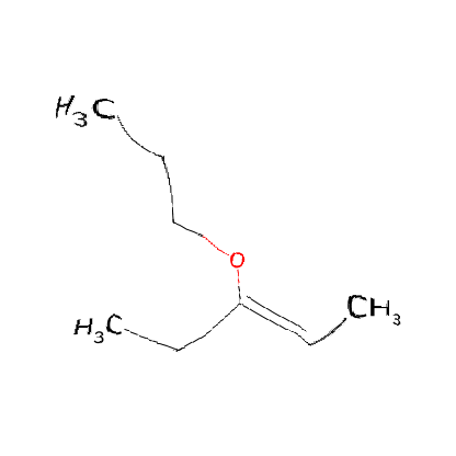 CC=C(CC)OCCC